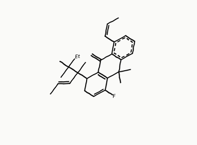 C=C1C2=C(C(F)=CCC2C(C)(C=CC)C(C)(C)CC)C(C)(C)c2cccc(/C=C\C)c21